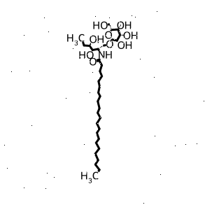 CCCCCCCCCCCCCCCCCCCCCCC(=O)N[C@@H](CO[C@H]1O[C@H](CO)[C@H](O)[C@H](O)[C@H]1O)[C@H](O)[C@H](O)CC